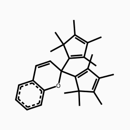 CC1=C(C)C(C)(C)C(C2(C3=C(C)C(C)=C(C)C3(C)C)C=Cc3ccccc3O2)=C1C